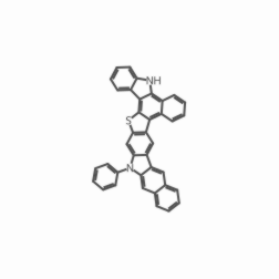 c1ccc(-n2c3cc4ccccc4cc3c3cc4c(cc32)sc2c4c3ccccc3c3[nH]c4ccccc4c32)cc1